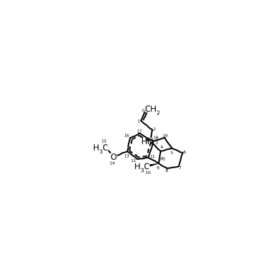 C=CCNC1C2CCC[C@]1(C)c1cc(OC)ccc1C2